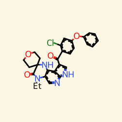 CCN1C(=O)C2(CCOCC2)Nc2c1cnc1[nH]cc(C(=O)c3ccc(Oc4ccccc4)cc3Cl)c21